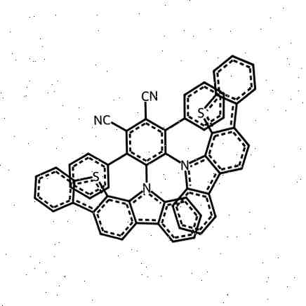 N#Cc1c(C#N)c(-c2ccccc2)c(-n2c3ccccc3c3ccc4c5ccccc5sc4c32)c(-n2c3ccccc3c3ccc4c5ccccc5sc4c32)c1-c1ccccc1